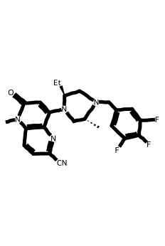 CC[C@H]1CN(Cc2cc(F)c(F)c(F)c2)[C@H](C)CN1c1cc(=O)n(C)c2ccc(C#N)nc12